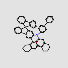 Cc1ccc2c(c1-c1cc3c(cc1N(c1ccc(-c4ccccc4)cc1)c1ccc4c(c1)CCCC4)C1(c4ccccc4-c4ccccc41)c1ccccc1-3)CCCC2